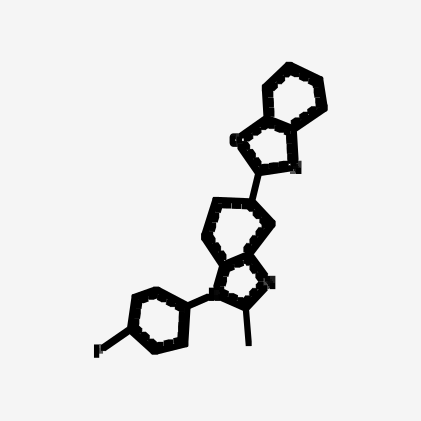 Cc1nc2cc(-c3nc4ccccc4o3)ccc2n1-c1ccc(F)cc1